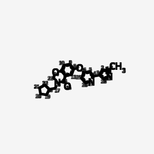 Cn1cc(-c2cc(Oc3ccc4c(c3)C(=O)N(CC3CCCC3)CO4)ccn2)cn1